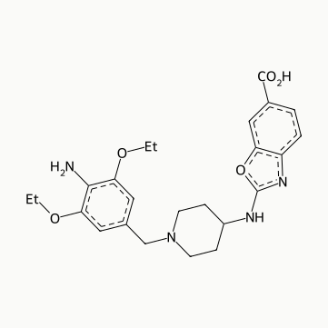 CCOc1cc(CN2CCC(Nc3nc4ccc(C(=O)O)cc4o3)CC2)cc(OCC)c1N